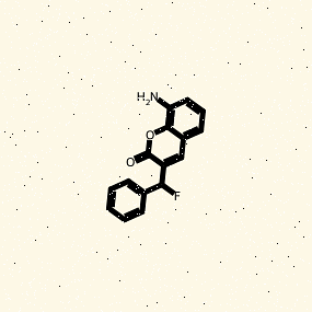 Nc1cccc2cc(C(F)c3ccccc3)c(=O)oc12